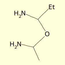 CCC(N)OC(C)N